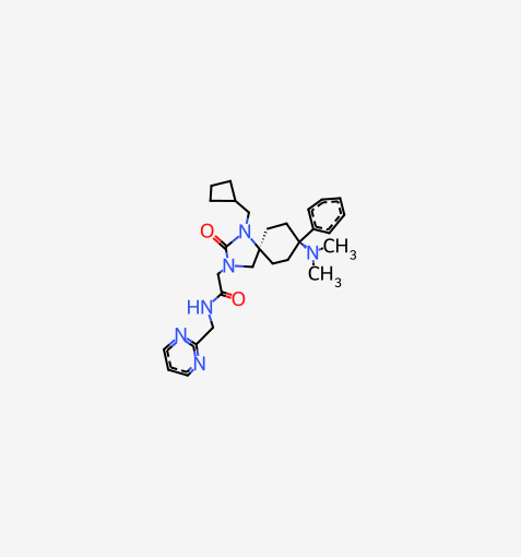 CN(C)[C@]1(c2ccccc2)CC[C@]2(CC1)CN(CC(=O)NCc1ncccn1)C(=O)N2CC1CCC1